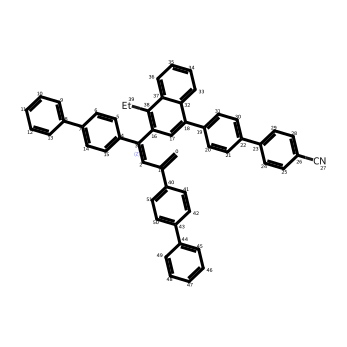 C=C(/C=C(/c1ccc(-c2ccccc2)cc1)c1cc(-c2ccc(-c3ccc(C#N)cc3)cc2)c2ccccc2c1CC)c1ccc(-c2ccccc2)cc1